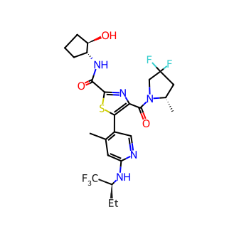 CC[C@H](Nc1cc(C)c(-c2sc(C(=O)N[C@@H]3CCC[C@H]3O)nc2C(=O)N2CC(F)(F)C[C@@H]2C)cn1)C(F)(F)F